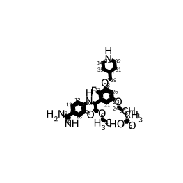 CC(=O)O.CCOC(=O)C(Nc1ccc(C(=N)N)cc1)c1cc(OCC)cc(OCC2CCNCC2)c1F